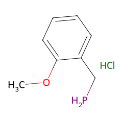 COc1ccccc1CP.Cl